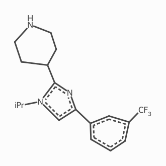 CC(C)n1cc(-c2cccc(C(F)(F)F)c2)nc1C1CCNCC1